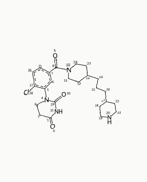 O=C1CCN(c2cc(C(=O)N3CCC(CCCC4CCNCC4)CC3)ccc2Cl)C(=O)N1